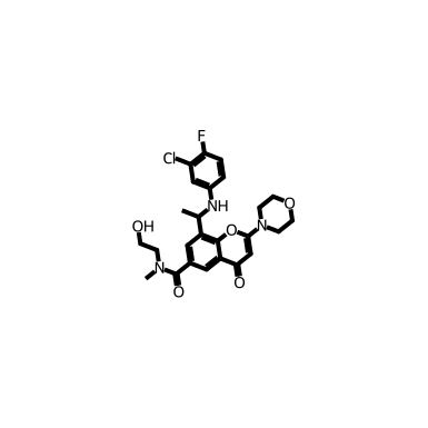 CC(Nc1ccc(F)c(Cl)c1)c1cc(C(=O)N(C)CCO)cc2c(=O)cc(N3CCOCC3)oc12